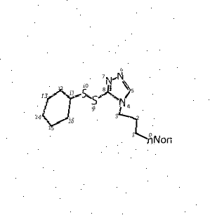 CCCCCCCCCCCCn1cnnc1SSC1CCCCC1